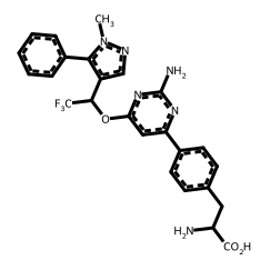 Cn1ncc(C(Oc2cc(-c3ccc(CC(N)C(=O)O)cc3)nc(N)n2)C(F)(F)F)c1-c1ccccc1